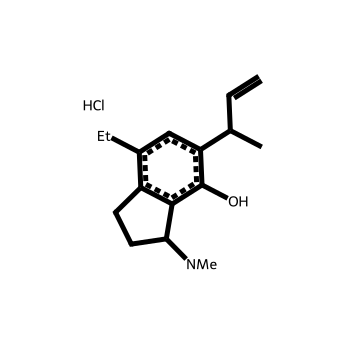 C=CC(C)c1cc(CC)c2c(c1O)C(NC)CC2.Cl